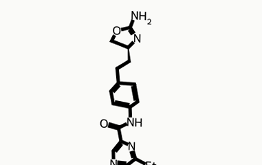 CCc1cncc(C(=O)Nc2ccc(CC[C@H]3COC(N)=N3)cc2)n1